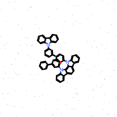 c1ccc(-c2cccc(-n3c4ccccc4c4ccc5c6ccccc6n(-c6ccc(-c7cccc(-n8c9ccccc9c9ccccc98)c7)cc6)c5c43)c2)cc1